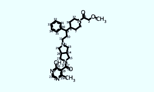 COCC(=O)N1CCC(C(CCN2CC3CN(C(=O)c4c(C)ncnc4C)CC3C2)c2ccccc2)CC1